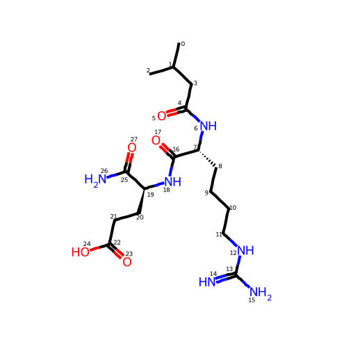 CC(C)CC(=O)N[C@H](CCCCNC(=N)N)C(=O)N[C@@H](CCC(=O)O)C(N)=O